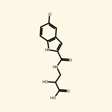 O=C(NCC(O)C(=O)O)c1cc2cc(Cl)ccc2[nH]1